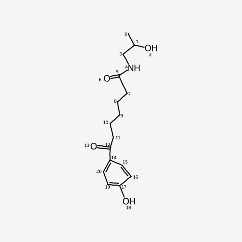 CC(O)CNC(=O)CCCCCC(=O)c1ccc(O)cc1